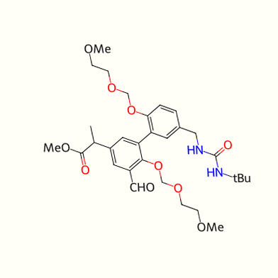 COCCOCOc1ccc(CNC(=O)NC(C)(C)C)cc1-c1cc(C(C)C(=O)OC)cc(C=O)c1OCOCCOC